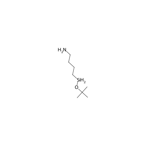 CC(C)(C)O[SiH2]CCCCN